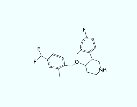 Cc1cc(C(F)F)ccc1COC1CCNCC1c1ccc(F)cc1C